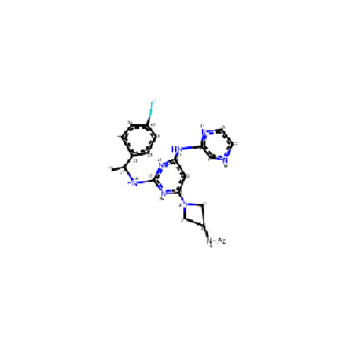 CC(=O)NC1CN(c2cc(Nc3cnccn3)nc(NC(C)c3ccc(F)cc3)n2)C1